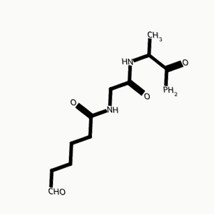 CC(NC(=O)CNC(=O)CCCCC=O)C(=O)P